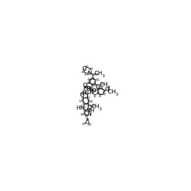 COc1ccc(CN(c2noc3cc(Nc4cc(C5CC5)n[nH]4)c(OC)cc23)S(=O)(=O)c2c(OC)cc(C(C)N3CCOCC3)cc2OC)cc1